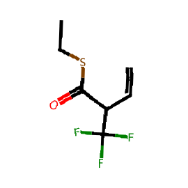 C=CC(C(=O)SCC)C(F)(F)F